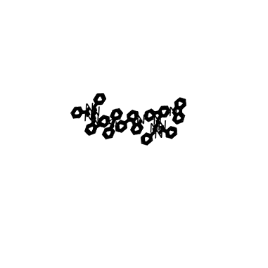 c1ccc(-c2nc(-c3ccccc3)nc(-n3c4ccccc4c4cc([Si](c5ccccc5)(c5ccccc5)c5cccc(-c6cccc7c6c6ccccc6n7-c6ccc7c8ccc(-n9c%10ccccc%10c%10ccccc%109)cc8n(-c8nc(-c9ccccc9)nc(-c9ccccc9)n8)c7c6)c5)ccc43)n2)cc1